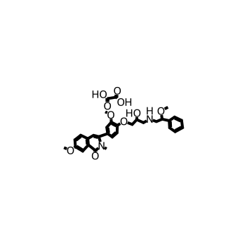 COc1ccc2cc(-c3ccc(OCC(O)CNCC(OC)c4ccccc4)c(OC)c3)n(C)c(=O)c2c1.O=C(O)C(=O)O